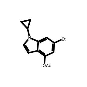 CCc1cc(OC(C)=O)c2ccn(C3CC3)c2c1